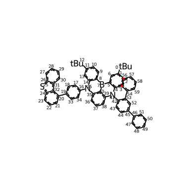 CC(C)(C)c1ccc2c(c1)B1c3ccc(C(C)(C)C)cc3N(c3ccc(-c4cccc5sc6ccccc6c45)cc3)c3cccc(c31)N2c1ccc(-c2ccccc2)cc1-c1ccccc1